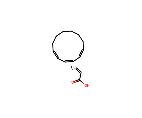 C1=CC=CCCCCCCC=C1.C=CC(=O)O